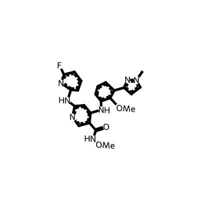 CONC(=O)c1cnc(Nc2cccc(F)n2)cc1Nc1cccc(-c2ccn(C)n2)c1OC